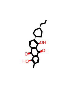 CCC[C@H]1CC[C@H](c2ccc3c(c2O)C(=O)c2ccc(C)c(O)c2C3=O)CC1